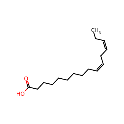 CC/C=C\C/C=C\CCCCCCCCC(=O)O